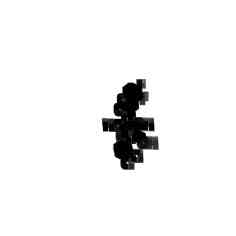 O=c1oc2ccc(F)c(F)c2cc1COC1C(O)C(Sc2ccc(Cl)c(Cl)c2)OC(CO)N1O